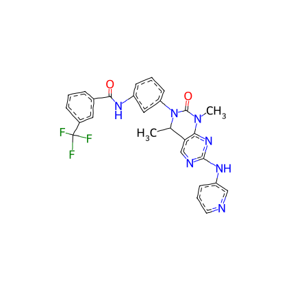 CC1c2cnc(Nc3cccnc3)nc2N(C)C(=O)N1c1cccc(NC(=O)c2cccc(C(F)(F)F)c2)c1